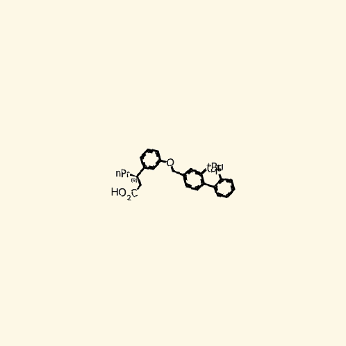 CCC[C@H](CC(=O)O)c1cccc(OCc2ccc(-c3ccccc3F)c(C(C)(C)C)c2)c1